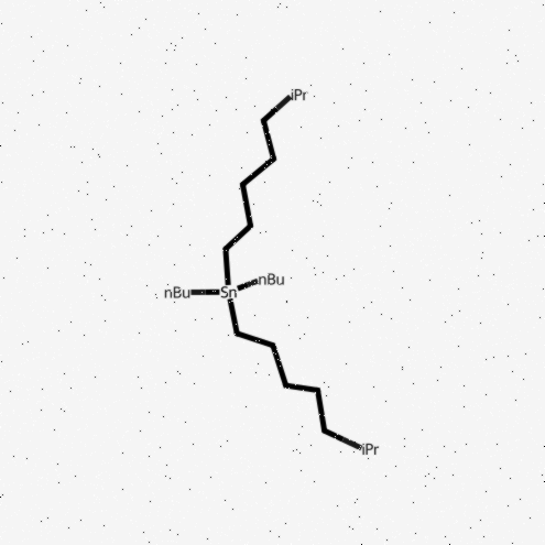 CCC[CH2][Sn]([CH2]CCC)([CH2]CCCCC(C)C)[CH2]CCCCC(C)C